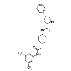 O=C(C[C@H]1CC[C@@H](NC(=O)[C@@H]2C[C@H](c3ccccc3)CN2)CC1)Nc1cc(C(F)(F)F)cc(C(F)(F)F)c1